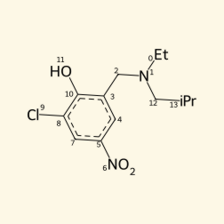 CCN(Cc1cc([N+](=O)[O-])cc(Cl)c1O)CC(C)C